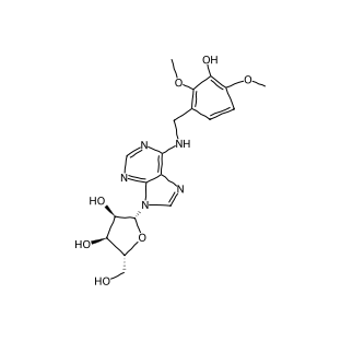 COc1ccc(CNc2ncnc3c2ncn3[C@@H]2O[C@H](CO)[C@@H](O)[C@H]2O)c(OC)c1O